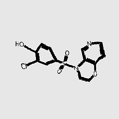 O=S(=O)(c1ccc(O)c(Cl)c1)N1CCOc2ccncc21